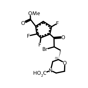 COC(=O)c1cc(F)c(C(=O)C(Br)C[C@H]2CN(C(=O)O)CCO2)c(F)c1F